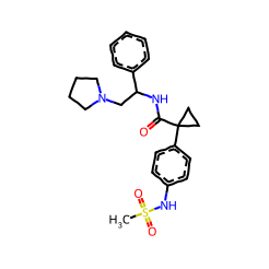 CS(=O)(=O)Nc1ccc(C2(C(=O)NC(CN3CCCC3)c3ccccc3)CC2)cc1